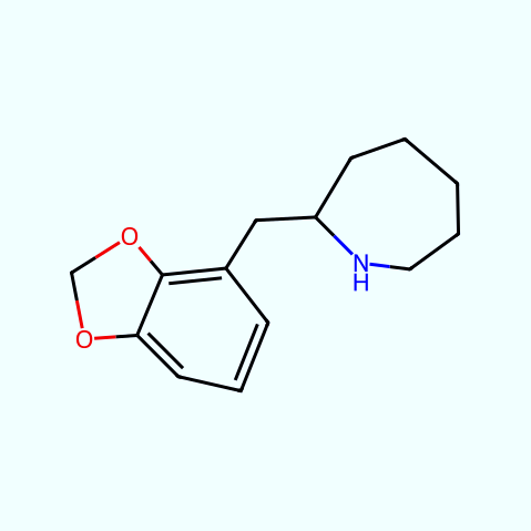 c1cc(CC2CCCCCN2)c2c(c1)OCO2